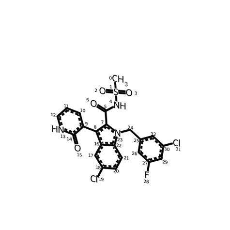 CS(=O)(=O)NC(=O)c1c(-c2ccc[nH]c2=O)c2cc(Cl)ccc2n1Cc1cc(F)cc(Cl)c1